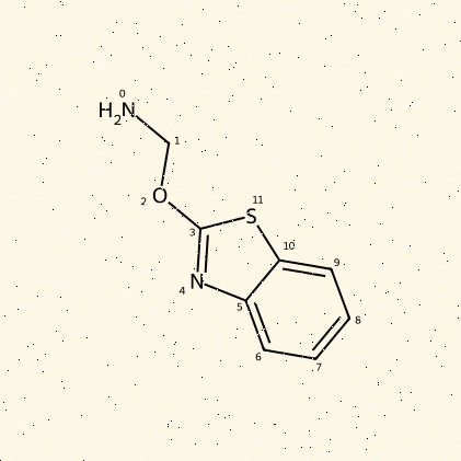 NCOc1nc2ccccc2s1